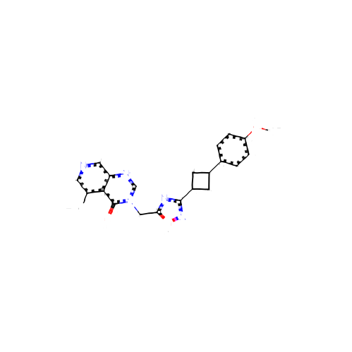 Cc1cncc2ncn(Cc3nc(C4CC(c5ccc(OC(F)(F)F)cc5)C4)no3)c(=O)c12